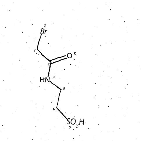 O=C(CBr)NCCS(=O)(=O)O